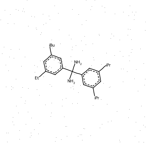 CCc1cc(C(C)CC)cc(C(N)(N)c2cc(C(C)C)cc(C(C)C)c2)c1